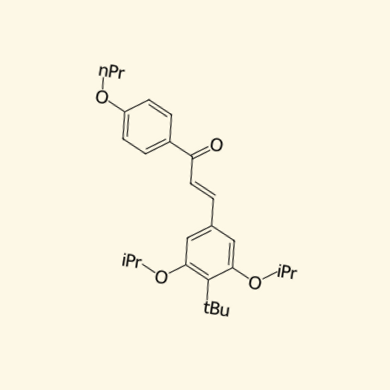 CCCOc1ccc(C(=O)C=Cc2cc(OC(C)C)c(C(C)(C)C)c(OC(C)C)c2)cc1